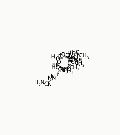 CC[C@H]1OC(=O)[C@@](C)(F)C(=O)[C@H](C)[C@@H](O[C@@H]2O[C@H](C)CC(N(C)C)C2O)[C@](C)(OC)C[C@@H](C)C(=O)[C@H](C)[C@@H](NCC#CCn2cc(-c3cc(N)ccn3)nn2)[C@]1(C)O